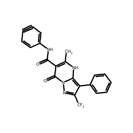 Cc1[nH]c2c(-c3ccccc3)c(C(F)(F)F)nn2c(=O)c1C(=O)Nc1cc#ccc1